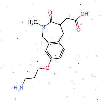 CN1Cc2cc(OCCCN)ccc2CC(CC(=O)O)C1=O